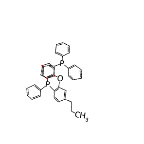 CCCc1ccc(P(c2ccccc2)c2ccccc2)c(Oc2ccccc2P(c2ccccc2)c2ccccc2)c1